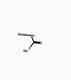 CNNC(=S)[S-].[Na+]